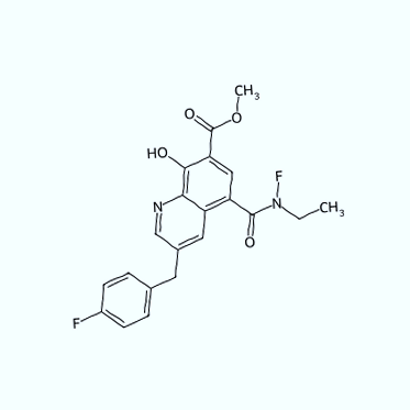 CCN(F)C(=O)c1cc(C(=O)OC)c(O)c2ncc(Cc3ccc(F)cc3)cc12